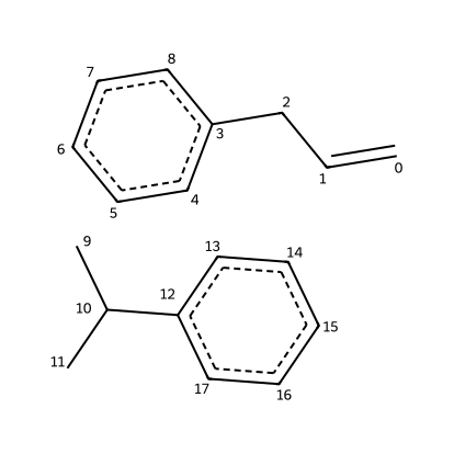 C=CCc1ccccc1.CC(C)c1ccccc1